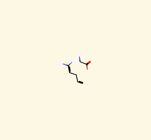 C=CCC=C(N)N.Cl.NCC(=O)O